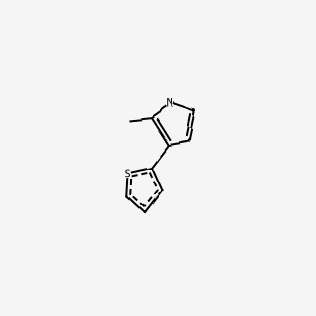 CC1=C(c2cccs2)C=C[N]1